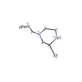 CCCCCCN1CCNC(CC)C1